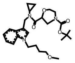 COCCCCn1cc(CN(C(=O)C2CN(C(=O)OC(C)(C)C)CCO2)C2CC2)c2ccccc21